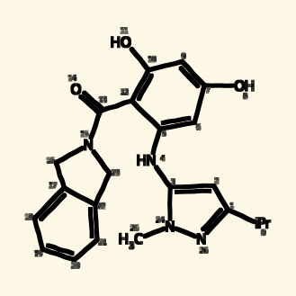 CC(C)c1cc(Nc2cc(O)cc(O)c2C(=O)N2Cc3ccccc3C2)n(C)n1